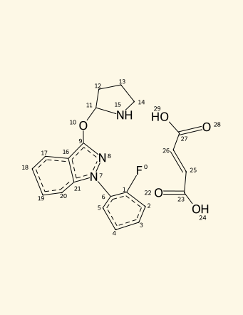 Fc1ccccc1-n1nc(OC2CCCN2)c2ccccc21.O=C(O)C=CC(=O)O